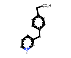 O=C(O)Cc1ccc(Cc2cccnc2)cc1